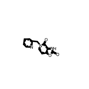 O=c1[nH]c2c(=O)n(Cc3ccccn3)ccc2o1